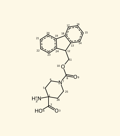 NC1(C(=O)O)CCN(C(=O)OCC2c3ccccc3-c3ccccc32)CC1